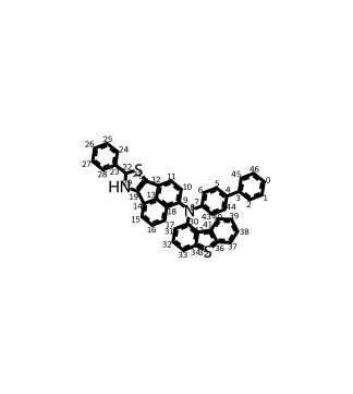 c1ccc(-c2ccc(N(c3ccc4c5c(cccc35)C3=C4SC(c4ccccc4)N3)c3cccc4sc5ccccc5c34)cc2)cc1